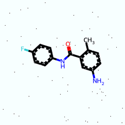 Cc1ccc(N)cc1C(=O)Nc1ccc(F)cc1